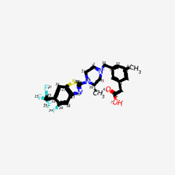 Cc1cc(CC(=O)O)cc(CN2CCN(c3nc4cc(F)c(C(F)(F)F)cc4s3)[C@@H](C)C2)c1